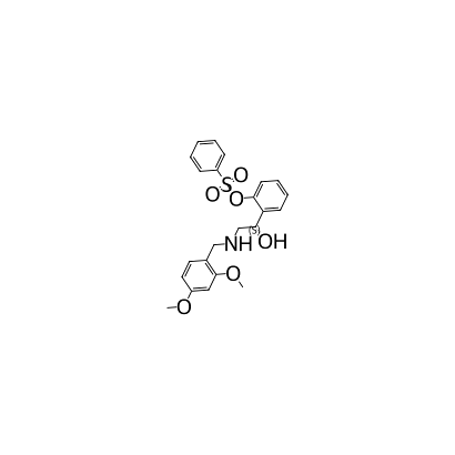 COc1ccc(CNC[C@@H](O)c2ccccc2OS(=O)(=O)c2ccccc2)c(OC)c1